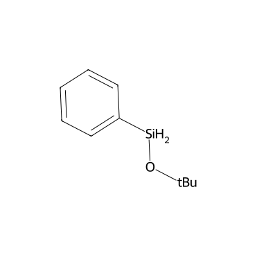 CC(C)(C)O[SiH2]c1ccccc1